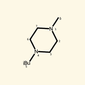 [CH2]N1CCN(C(C)CC)CC1